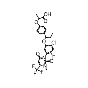 CCC(Oc1cc(-n2c(=O)cc(C(F)(F)F)n(C)c2=O)c(F)cc1Cl)c1ccc(OC(C)C(=O)O)cc1